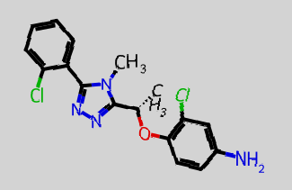 C[C@H](Oc1ccc(N)cc1Cl)c1nnc(-c2ccccc2Cl)n1C